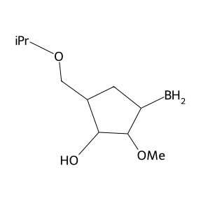 BC1CC(COC(C)C)C(O)C1OC